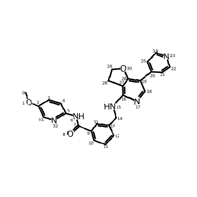 COc1ccc(NC(=O)c2cccc(CNc3ncc(-c4ccncc4)c4c3CCO4)c2)nc1